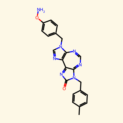 Cc1ccc(Cn2c3ncnc4c(ncn4Cc4ccc(ON)cc4)c-3nc2=O)cc1